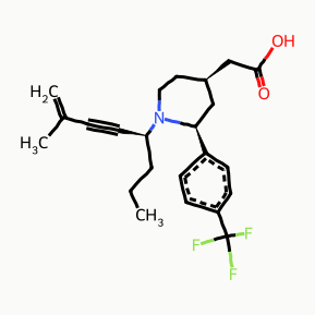 C=C(C)C#C[C@H](CCC)N1CC[C@@H](CC(=O)O)C[C@H]1c1ccc(C(F)(F)F)cc1